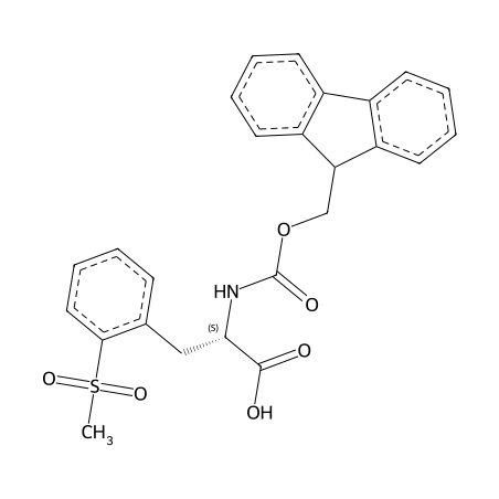 CS(=O)(=O)c1ccccc1C[C@H](NC(=O)OCC1c2ccccc2-c2ccccc21)C(=O)O